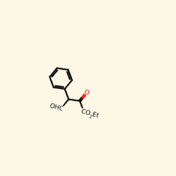 CCOC(=O)C(=O)C(C=O)c1ccccc1